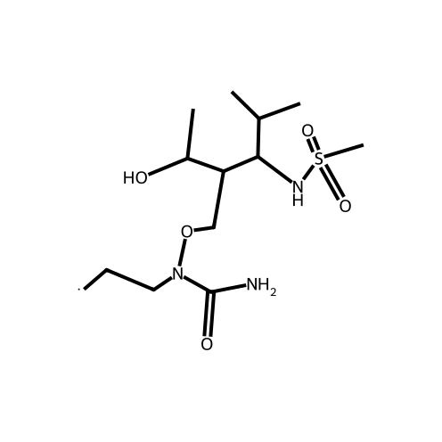 [CH2]CCN(OCC(C(C)O)C(NS(C)(=O)=O)C(C)C)C(N)=O